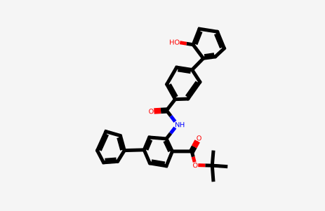 CC(C)(C)OC(=O)c1ccc(-c2ccccc2)cc1NC(=O)c1ccc(-c2ccccc2O)cc1